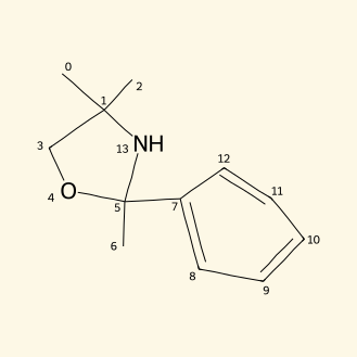 CC1(C)COC(C)(c2ccccc2)N1